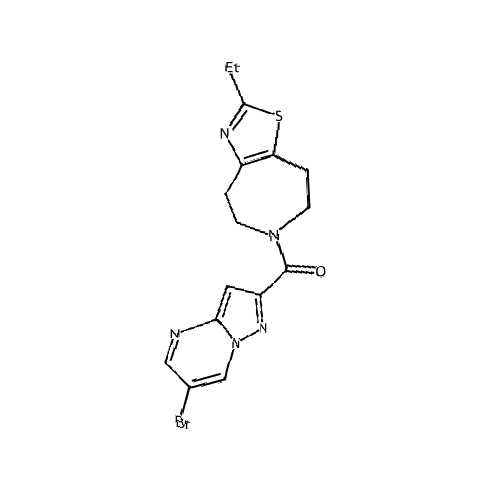 CCc1nc2c(s1)CCN(C(=O)c1cc3ncc(Br)cn3n1)CC2